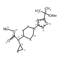 COC(C)(C)c1nc(N2CCC(N(C(=O)OC(C)(C)C)C3CC3)CC2)no1